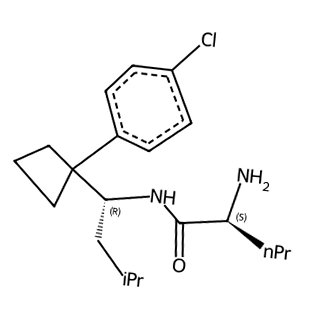 CCC[C@H](N)C(=O)N[C@H](CC(C)C)C1(c2ccc(Cl)cc2)CCC1